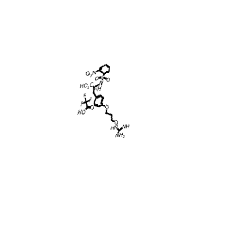 N=C(N)NOCCCOc1ccc(C[C@H](NS(=O)(=O)c2ccccc2[N+](=O)[O-])C(=O)O)cc1.O=C(O)C(F)(F)F